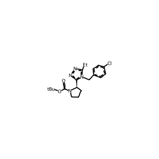 CCc1nnc([C@H]2CCCN2C(=O)OC(C)(C)C)n1Cc1ccc(Cl)cc1